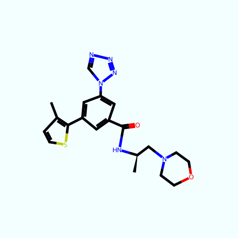 Cc1ccsc1-c1cc(C(=O)N[C@H](C)CN2CCOCC2)cc(-n2cnnn2)c1